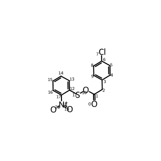 O=C(Cc1ccc(Cl)cc1)OSc1ccccc1[N+](=O)[O-]